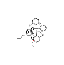 CCCCOB(OCCCC)OC(c1ccccc1F)(c1ccccc1F)C(CC)(c1ccccc1F)c1ccccc1F